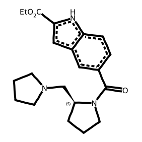 CCOC(=O)c1cc2cc(C(=O)N3CCC[C@H]3CN3CCCC3)ccc2[nH]1